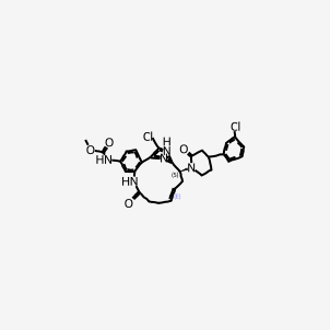 COC(=O)Nc1ccc2c(c1)NC(=O)CC/C=C/C[C@H](N1CCC(c3cccc(Cl)c3)CC1=O)c1nc-2c(Cl)[nH]1